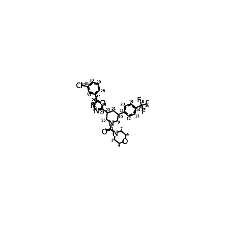 O=C(N1CCOCC1)N1CC(c2ccc(C(F)(F)F)cc2)CC(c2nnc(-c3cccc(Cl)c3)o2)C1